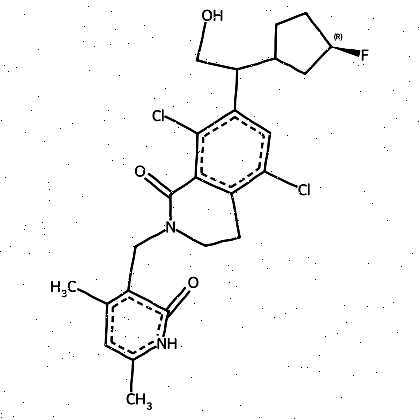 Cc1cc(C)c(CN2CCc3c(Cl)cc(C(CO)C4CC[C@@H](F)C4)c(Cl)c3C2=O)c(=O)[nH]1